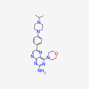 CC(C)N1CCN(c2ccc(-c3cnc4nc(N)nc(N5CCOCC5)c4n3)cc2)CC1